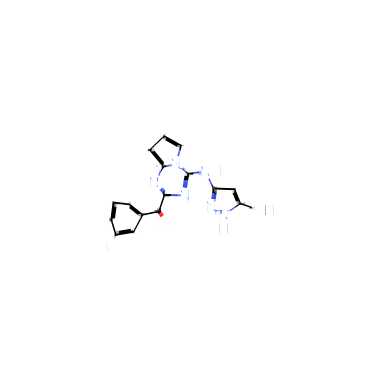 Cc1cc(Nc2nc(C(=O)c3cccc(F)c3)nc3cccn23)n[nH]1